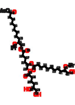 COC(=O)CCCCCCCCC(COC(=O)CCCC(COC(=O)CCCC(O)CO)OC(=O)CCCCCCCCC(CO)OC(C)C)OC(C)C